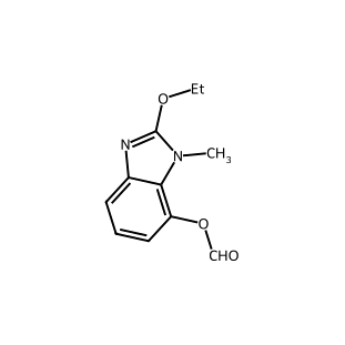 CCOc1nc2cccc(OC=O)c2n1C